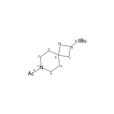 CC(=O)N1CCC2(CC1)CC(C(C)(C)C)C2